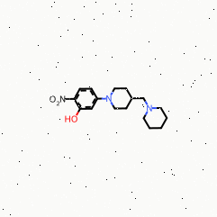 O=[N+]([O-])c1ccc(N2CCC(CN3CCCCC3)CC2)cc1O